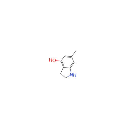 Cc1cc(O)c2c(c1)NCC2